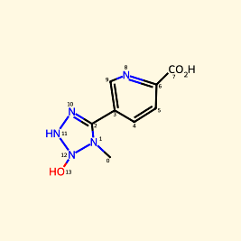 CN1C(c2ccc(C(=O)O)nc2)=NNN1O